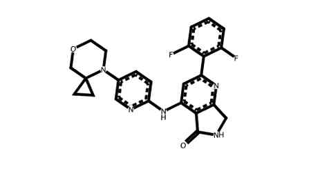 O=C1NCc2nc(-c3c(F)cccc3F)cc(Nc3ccc(N4CCOCC45CC5)cn3)c21